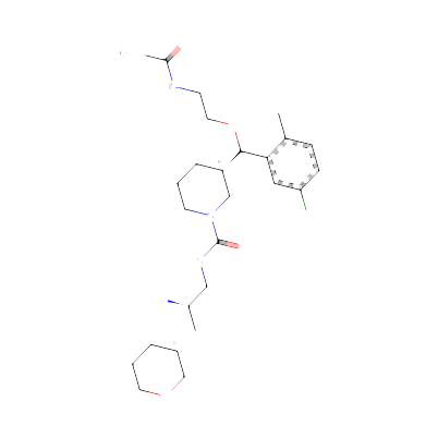 COC(=O)NCCOC(c1cc(Cl)ccc1C)[C@@H]1CCCN(C(=O)NC[C@H](N)C[C@H]2CCCOC2)C1